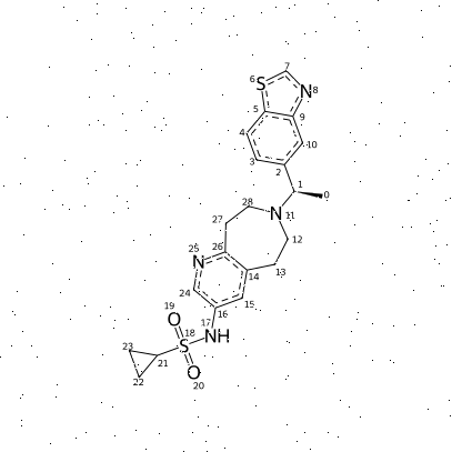 C[C@H](c1ccc2scnc2c1)N1CCc2cc(NS(=O)(=O)C3CC3)cnc2CC1